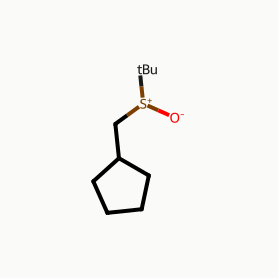 CC(C)(C)[S+]([O-])CC1CCCC1